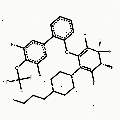 CCCCC1CCC(C2=C(F)[C@H](F)[C@](C)(F)C(F)=C2Oc2ccccc2-c2cc(F)c(OC(F)(F)F)c(F)c2)CC1